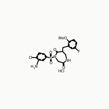 COc1ccc(F)cc1CC1CNC(=O)CN(S(=O)(=O)c2ccc(Cl)c(N)c2)C1=O.Cl